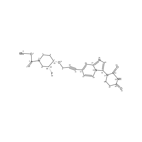 CC(C)(C)OC(=O)N1CC[C@H](OCC#Cc2ccn3c(N4CCC(=O)NC4=O)cnc3c2)[C@H](F)C1